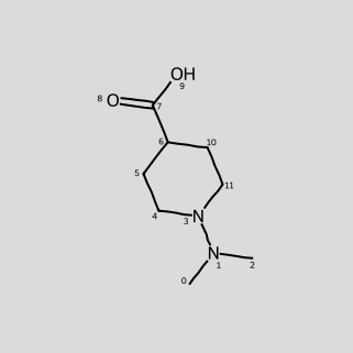 CN(C)N1CCC(C(=O)O)CC1